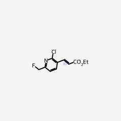 CCOC(=O)/C=C/c1ccc(CF)nc1Cl